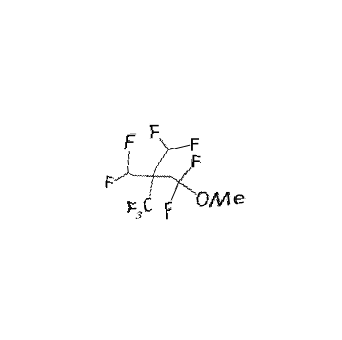 COC(F)(F)C(C(F)F)(C(F)F)C(F)(F)F